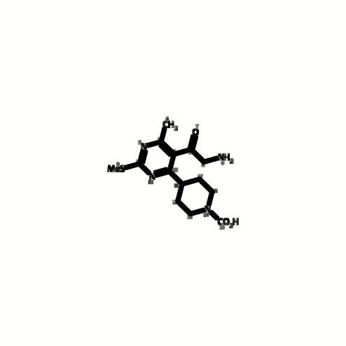 CSc1nc(C)c(C(=O)CN)c(C2CCN(C(=O)O)CC2)n1